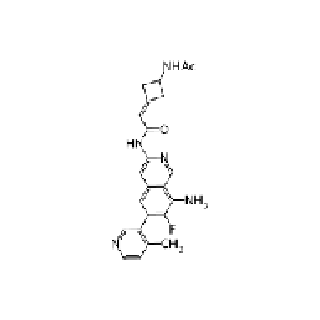 CC(=O)NC1CC(=CC(=O)Nc2cc3cc(-c4cnccc4C)c(F)c(N)c3cn2)C1